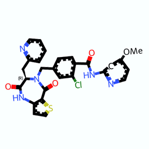 COc1ccnc(NC(=O)c2ccc(CN3C(=O)c4sccc4NC(=O)[C@H]3Cc3ccccn3)cc2Cl)c1